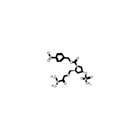 CN(C)C(=O)COC[C@@H]1C[C@@H](OS(C)(=O)=O)CN1C(=O)OCc1ccc([N+](=O)[O-])cc1